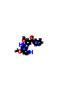 CCOc1nc(Nc2ccc(C(=O)N3CCN4CCCC4C3)cc2OC)nc2[nH]ccc12